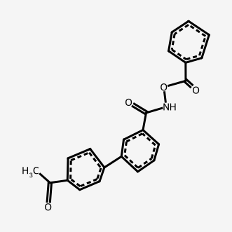 CC(=O)c1ccc(-c2cccc(C(=O)NOC(=O)c3ccccc3)c2)cc1